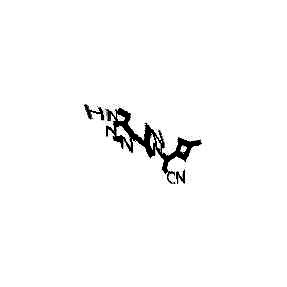 CC1CC(C(CC#N)n2cc(-c3ncnc4[nH]ccc34)cn2)C1